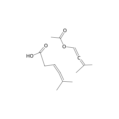 CC(=O)OC=C=C(C)C.CC(C)=C=CCC(=O)O